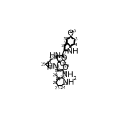 COc1ccc2[nH]c(C(=O)N[C@@H](CC3CC3)C(=O)N[C@@H](C[C@@H]3CCCNC3)C(N)=O)cc2c1